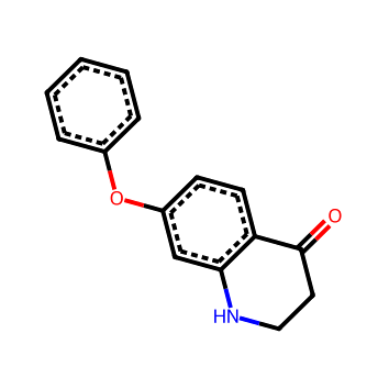 O=C1CCNc2cc(Oc3ccccc3)ccc21